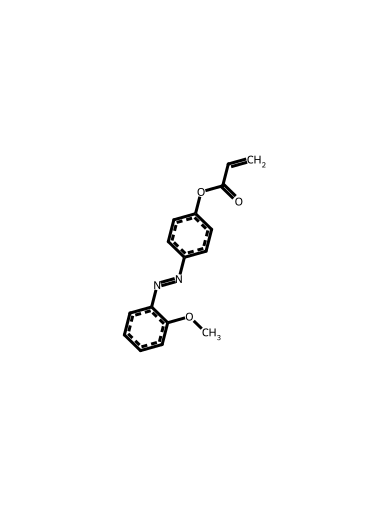 C=CC(=O)Oc1ccc(N=Nc2ccccc2OC)cc1